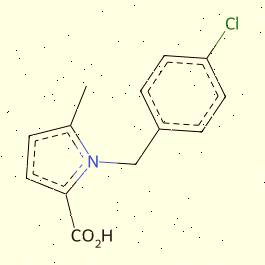 Cc1ccc(C(=O)O)n1Cc1ccc(Cl)cc1